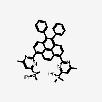 Cc1cc([Si](C)(C)C(C)C)nc(-c2ccc3c(-c4ccccc4)c(-c4ccccc4)c4ccc(-c5nc(C)cc([Si](C)(C)C(C)C)n5)c5ccc2c3c54)n1